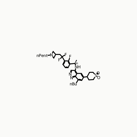 CCCCCN1CC(CC(F)(F)c2cccc([C@@H](C)Nc3cnnc4c(CCCC)cc(C5CCS(=O)(=O)CC5)cc34)c2F)C1